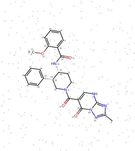 Cc1nc2[nH]cc(C(=O)N3CC[C@@H](NC(=O)c4ccccc4OC(F)(F)F)[C@@H](c4ccccc4)C3)c(=O)n2n1